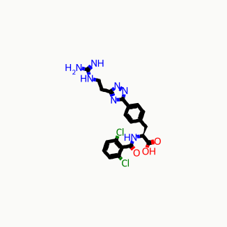 N=C(N)NCCC1=NC(c2ccc(C[C@H](NC(=O)c3c(Cl)cccc3Cl)C(=O)O)cc2)N=N1